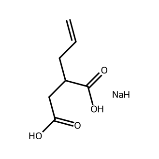 C=CCC(CC(=O)O)C(=O)O.[NaH]